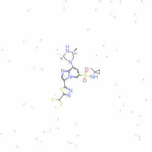 C[C@H]1CN(c2cc(S(=O)(=O)NC3(C)CC3)cn3c(-c4nnc(C(F)F)s4)cnc23)C[C@H](C)N1